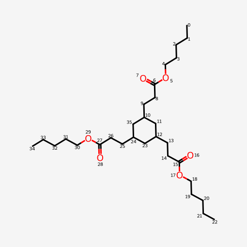 CCCCCOC(=O)CCC1CC(CCC(=O)OCCCCC)CC(CCC(=O)OCCCCC)C1